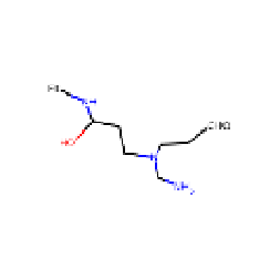 CCNC(O)CCN(CN)CCC=O